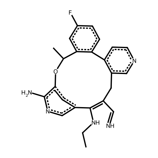 CCN/C1=C(\C=N)Cc2cnccc2-c2ccc(F)cc2C(C)Oc2cc1cnc2N